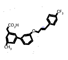 Cc1cc(CC(=O)O)cc(-c2cccc(OC/C=C/c3ccc(C(F)(F)F)cc3)c2)c1